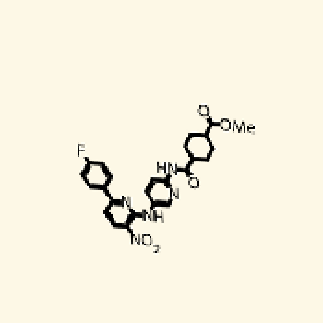 COC(=O)C1CCC(C(=O)Nc2ccc(Nc3nc(-c4ccc(F)cc4)ccc3[N+](=O)[O-])cn2)CC1